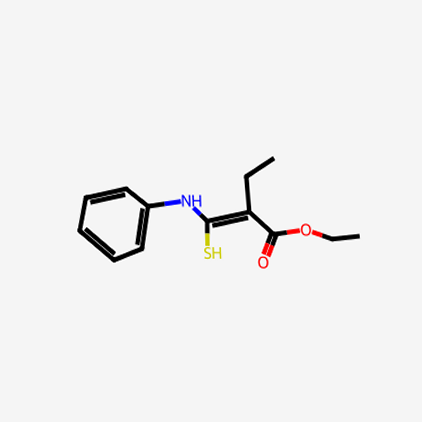 CCOC(=O)/C(CC)=C(\S)Nc1ccccc1